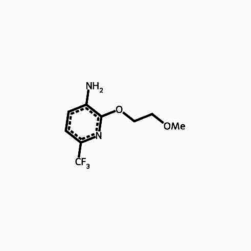 COCCOc1nc(C(F)(F)F)ccc1N